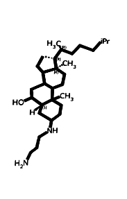 CC(C)CCC[C@@H](C)[C@H]1CCC2C3CC(O)[C@H]4CC(NCCCN)CCC4(C)C3CC[C@@]21C